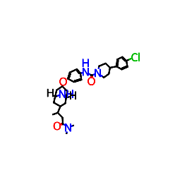 CC(CC(=O)N(C)C)C1C[C@@H]2C[C@H](Oc3ccc(NC(=O)N4CCC(c5ccc(Cl)cc5)CC4)cc3)C[C@H](C1)N2